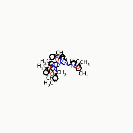 CC1CCC2C(C)(C)C2(Oc2cccc(CN(CCN(Cc3cccc(OC45CC(C)CCC4C5(C)C)n3)Cc3cccc(OC45CC(C)CCC4C5(C)C)n3)Cc3cccc(OC45CC(C)CCC4C5(C)C)n3)n2)C1